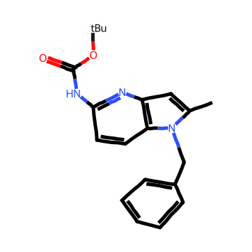 Cc1cc2nc(NC(=O)OC(C)(C)C)ccc2n1Cc1ccccc1